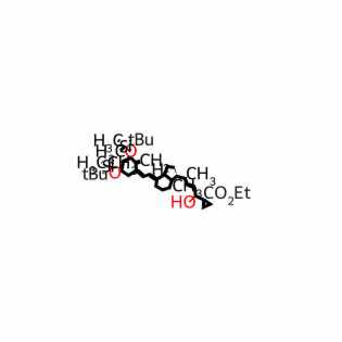 C=C1/C(=C\C=C2/CCC[C@@]3(C)[C@@H]([C@H](C)/C=C/[C@H](O)C4(C(=O)OCC)CC4)CC[C@@H]23)C[C@@H](O[Si](C)(C)C(C)(C)C)C[C@@H]1O[Si](C)(C)C(C)(C)C